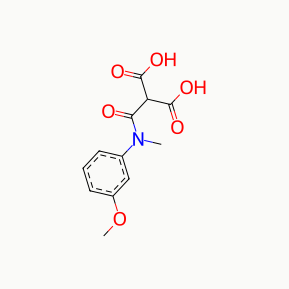 COc1cccc(N(C)C(=O)C(C(=O)O)C(=O)O)c1